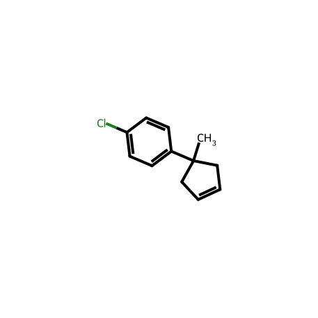 CC1(c2ccc(Cl)cc2)CC=CC1